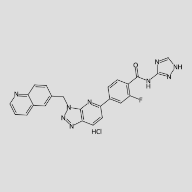 Cl.O=C(Nc1nc[nH]n1)c1ccc(-c2ccc3nnn(Cc4ccc5ncccc5c4)c3n2)cc1F